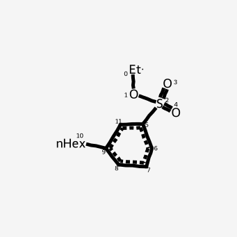 C[CH]OS(=O)(=O)c1cccc(CCCCCC)c1